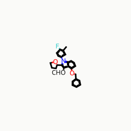 Cc1cc(-n2c(C3CCCO3)c(C=O)c3c(OCc4ccccc4)cccc32)ccc1F